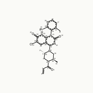 C=CC(=O)N1C[C@H](C)N(c2nc(=O)n(-c3c(C)ccnc3C(C)C)c3[nH]c(=O)c(Cl)cc23)C[C@H]1C